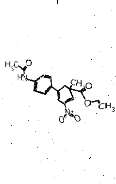 CCOC(=O)C1(C)C=C([N+](=O)[O-])C=C(c2ccc(NC(C)=O)cc2)C1